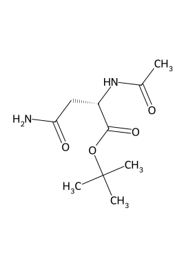 CC(=O)N[C@@H](CC(N)=O)C(=O)OC(C)(C)C